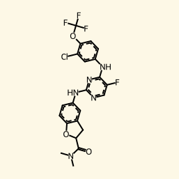 CN(C)C(=O)C1Cc2cc(Nc3ncc(F)c(Nc4ccc(OC(F)(F)F)c(Cl)c4)n3)ccc2O1